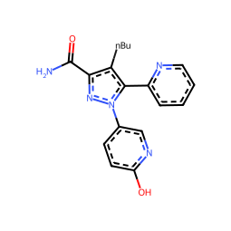 CCCCc1c(C(N)=O)nn(-c2ccc(O)nc2)c1-c1ccccn1